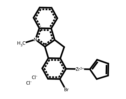 Cn1c2c(c3ccccc31)Cc1c-2ccc(Br)[c]1[Zr+2][C]1=CC=CC1.[Cl-].[Cl-]